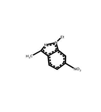 CCn1nc(C)c2ccc([N+](=O)[O-])cc21